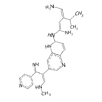 CN/C=C(\C(=N)c1ccncc1)c1cnc2c(c1)NC(N/C(N)=C/C(=C\N)C(C)C)C=C2